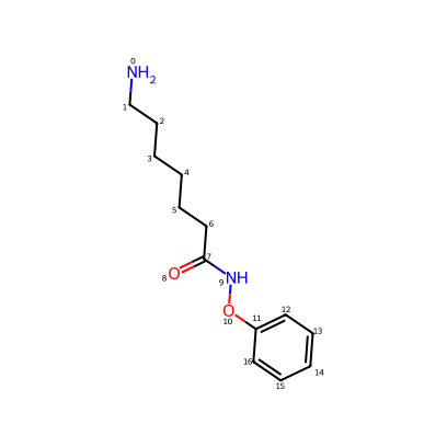 NCCCCCCC(=O)NOc1ccccc1